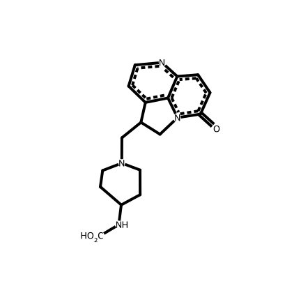 O=C(O)NC1CCN(CC2Cn3c(=O)ccc4nccc2c43)CC1